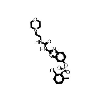 Cc1cccc(Cl)c1S(=O)(=O)Oc1ccc2nc(NC(=O)NCCN3CCOCC3)sc2c1